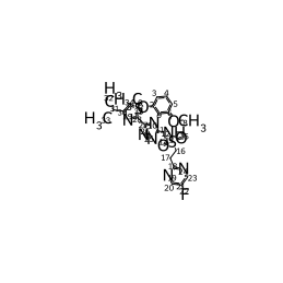 COc1cccc(OC)c1-n1c(NS(=O)(=O)CCc2ncc(F)cn2)nnc1-c1nc(C(C)C)cs1